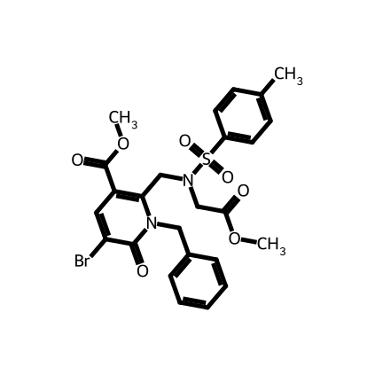 COC(=O)CN(Cc1c(C(=O)OC)cc(Br)c(=O)n1Cc1ccccc1)S(=O)(=O)c1ccc(C)cc1